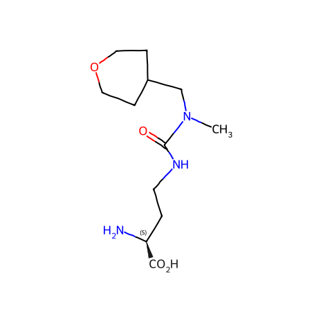 CN(CC1CCOCC1)C(=O)NCC[C@H](N)C(=O)O